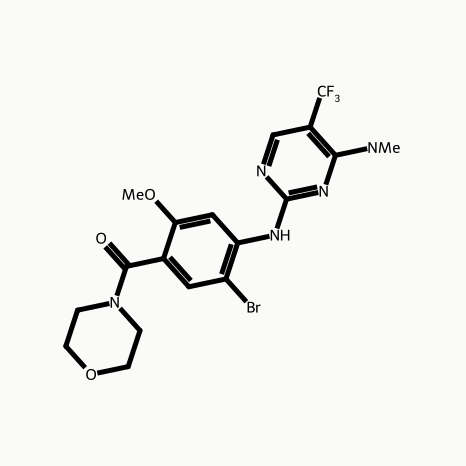 CNc1nc(Nc2cc(OC)c(C(=O)N3CCOCC3)cc2Br)ncc1C(F)(F)F